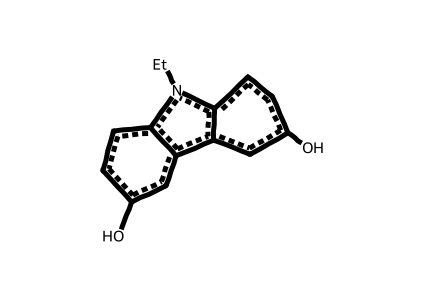 CCn1c2ccc(O)cc2c2cc(O)ccc21